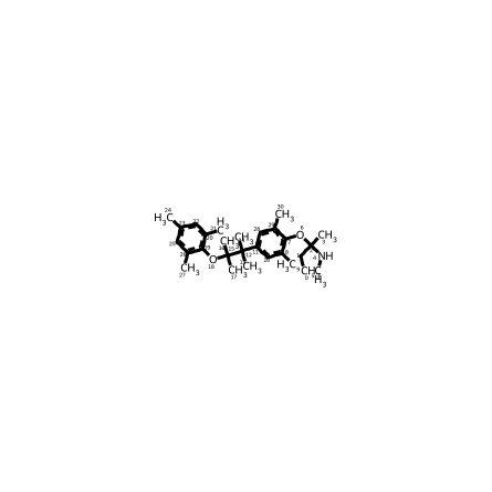 CCC(C)(NC)Oc1c(C)cc(C(C)(C)C(C)(C)Oc2c(C)cc(C)cc2C)cc1C